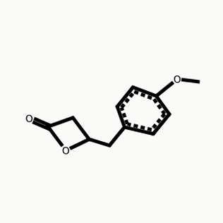 COc1ccc(CC2CC(=O)O2)cc1